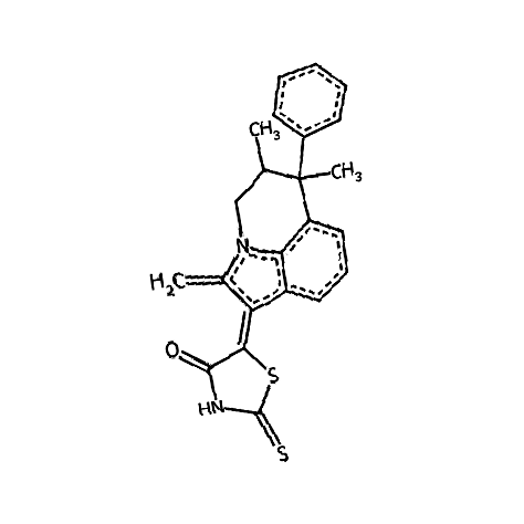 C=c1c(=C2SC(=S)NC2=O)c2cccc3c2n1CC(C)C3(C)c1ccccc1